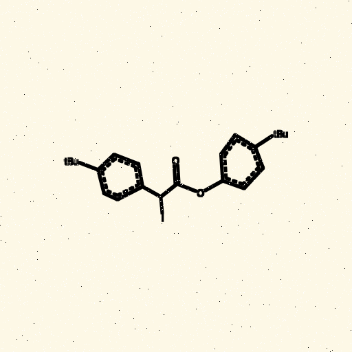 CC(C)(C)c1ccc(OC(=O)C(I)c2ccc(C(C)(C)C)cc2)cc1